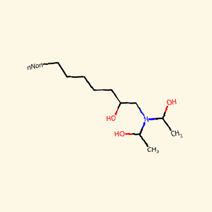 CCCCCCCCCCCCCCC(O)CN(C(C)O)C(C)O